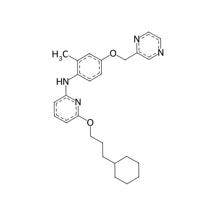 Cc1cc(OCc2cnccn2)ccc1Nc1cccc(OCCCC2CCCCC2)n1